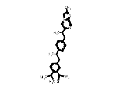 Cc1cn2cc([C@@H](C)Cc3ccc([C@@H](C)Cc4ccc(C(C)C)c(C(N)=O)c4)cc3)ncc2n1